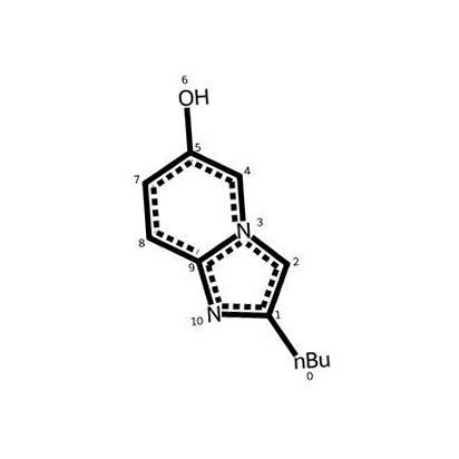 CCCCc1cn2cc(O)ccc2n1